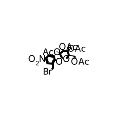 CC(=O)OC[C@H]1O[C@H](Oc2ccc([N+](=O)[O-])cc2CBr)[C@H](OC(C)=O)[C@@H](OC(C)=O)[C@H]1OC(C)=O